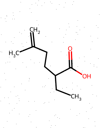 C=C(C)CCC(CC)C(=O)O